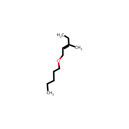 [CH2]CC(C)=CCOCCCCC